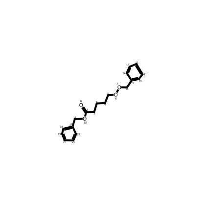 O=C(CCCCOOCc1ccccc1)OCc1ccccc1